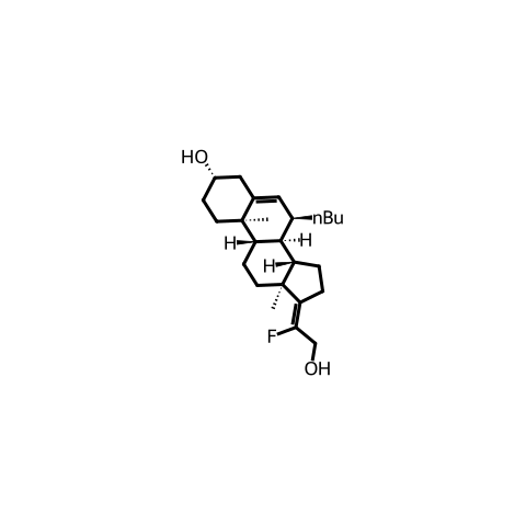 CCCC[C@@H]1C=C2C[C@@H](O)CC[C@]2(C)[C@H]2CC[C@]3(C)C(=C(F)CO)CC[C@H]3[C@H]12